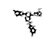 Cc1cc2nc(C(=O)N3CCN(S(=O)(=O)c4cc5cc(Cl)ccc5[nH]4)CC3C(=O)NCc3nnn[nH]3)sc2cn1.I